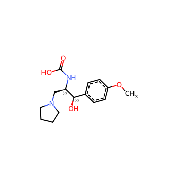 COc1ccc([C@@H](O)[C@@H](CN2CCCC2)NC(=O)O)cc1